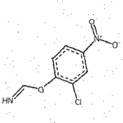 N=COc1ccc([N+](=O)[O-])cc1Cl